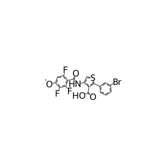 COc1cc(F)c(C(=O)Nc2csc(-c3cccc(Br)c3)c2C(=O)O)c(F)c1F